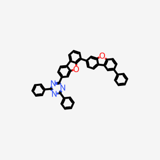 c1ccc(-c2ccc3oc4cc(-c5cccc6c5oc5cc(-c7nc(-c8ccccc8)nc(-c8ccccc8)n7)ccc56)ccc4c3c2)cc1